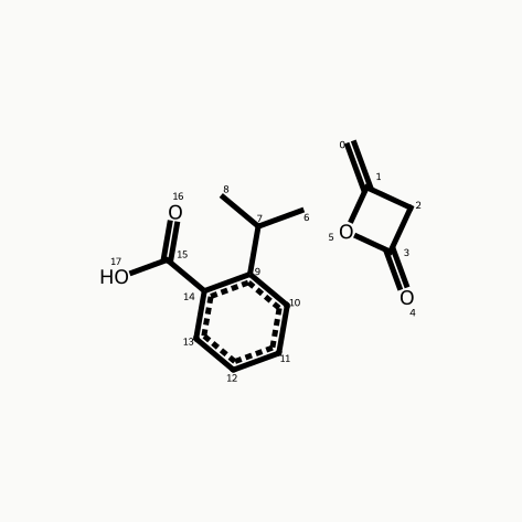 C=C1CC(=O)O1.CC(C)c1ccccc1C(=O)O